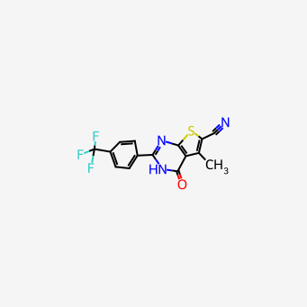 Cc1c(C#N)sc2nc(-c3ccc(C(F)(F)F)cc3)[nH]c(=O)c12